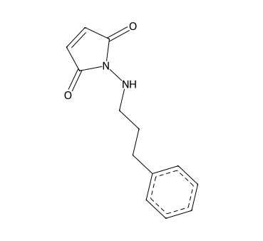 O=C1C=CC(=O)N1NCCCc1ccccc1